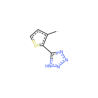 [CH2]c1ccsc1-c1nnn[nH]1